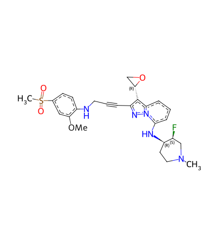 COc1cc(S(C)(=O)=O)ccc1NCC#Cc1nn2c(N[C@@H]3CCN(C)C[C@@H]3F)cccc2c1[C@@H]1CO1